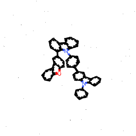 c1ccc(-n2c3ccccc3c3cc(-c4ccc(-n5c6ccccc6c6cccc(-c7ccc8oc9ccccc9c8c7)c65)cc4)ccc32)cc1